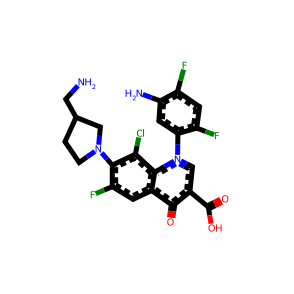 NCC1CCN(c2c(F)cc3c(=O)c(C(=O)O)cn(-c4cc(N)c(F)cc4F)c3c2Cl)C1